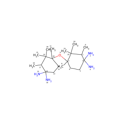 CC1C(N)(N)CCC(C)(OC2(C)CCC(N)(N)C(C)C2(C)C)C1(C)C